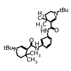 CC1(C)CCN(C(C)(C)C)C=C1C(=O)Nc1cccc(NC(=O)C2=CN(C(C)(C)C)CCC2(C)C)c1